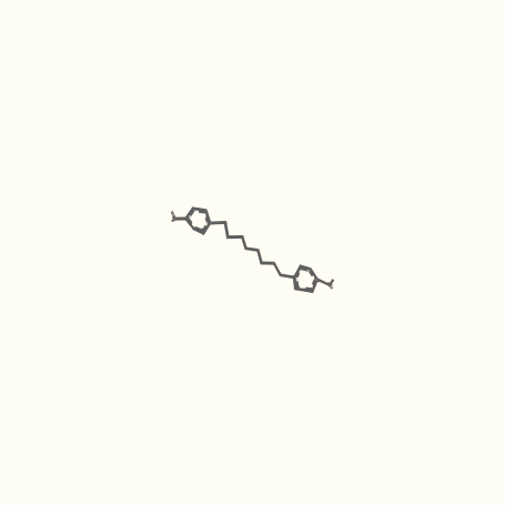 CC(C(=O)O)c1ccc(CCCCCCCCc2ccc(C(C)C(=O)O)cc2)cc1